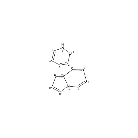 C1=CNOC=C1.c1ccn2cccc2c1